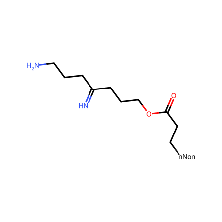 CCCCCCCCCCCC(=O)OCCCC(=N)CCCN